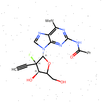 C#C[C@@]1(F)[C@H](O)C(CO)O[C@H]1n1cnc2c(NC)nc(NC(=O)C(C)C)nc21